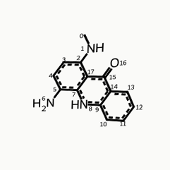 CNc1ccc(N)c2[nH]c3ccccc3c(=O)c12